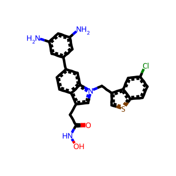 Nc1cc(N)cc(-c2ccc3c(CC(=O)NO)cn(Cc4csc5ccc(Cl)cc45)c3c2)c1